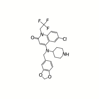 O=c1cc(N(Cc2ccc3c(c2)OCO3)C2CCNCC2)c2cc(Cl)ccc2n1CC(F)(F)F